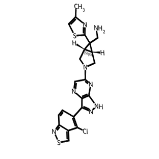 Cc1csc(C2(CN)[C@@H]3CN(c4cnc5c(-c6ccc7nscc7c6Cl)n[nH]c5n4)C[C@@H]32)n1